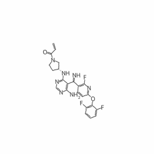 C=CC(=O)N1CC[C@@H](Nc2ncnc(N)c2C(=N)c2ccc(Oc3c(F)cccc3F)nc2F)C1